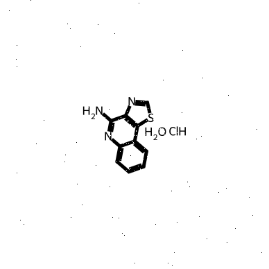 Cl.Nc1nc2ccccc2c2scnc12.O